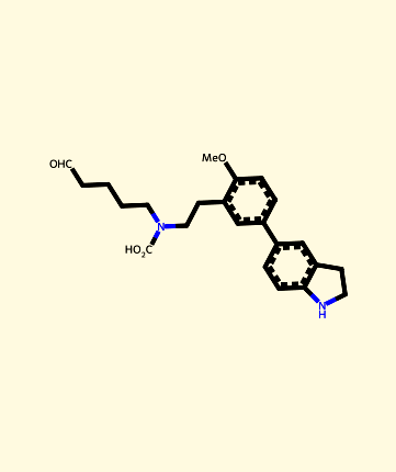 COc1ccc(-c2ccc3c(c2)CCN3)cc1CCN(CCCCC=O)C(=O)O